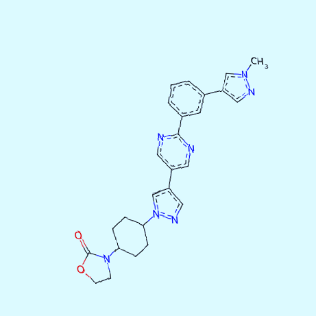 Cn1cc(-c2cccc(-c3ncc(-c4cnn(C5CCC(N6CCOC6=O)CC5)c4)cn3)c2)cn1